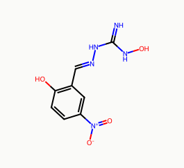 N=C(NO)NN=Cc1cc([N+](=O)[O-])ccc1O